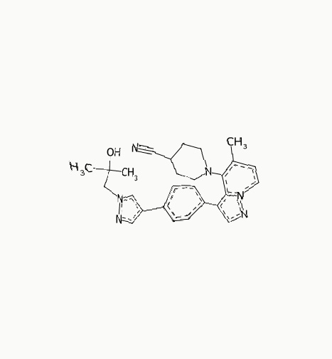 Cc1ccn2ncc(-c3ccc(-c4cnn(CC(C)(C)O)c4)cc3)c2c1N1CCC(C#N)CC1